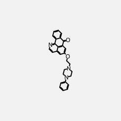 O=C1c2ccccc2-c2nccc3cc(OCCN4CCN(c5ccccc5)CC4)cc1c23